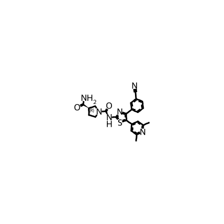 Cc1cc(-c2sc(NC(=O)N3CC[C@@H](C(N)=O)C3)nc2-c2cccc(C#N)c2)cc(C)n1